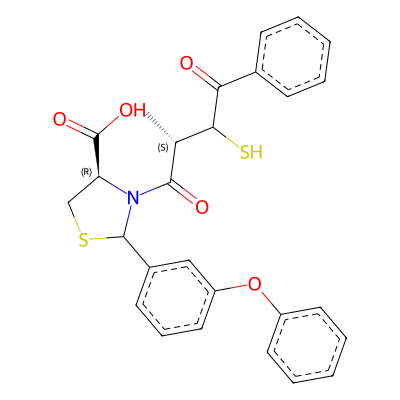 C[C@@H](C(=O)N1C(c2cccc(Oc3ccccc3)c2)SC[C@H]1C(=O)O)C(S)C(=O)c1ccccc1